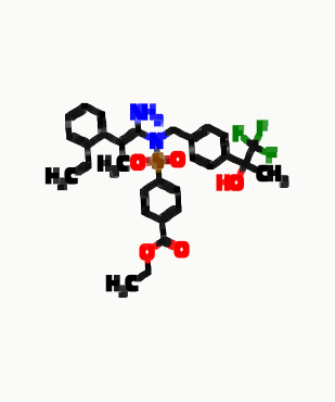 C=Cc1ccccc1/C(C)=C(\N)N(Cc1ccc(C(C)(O)C(F)(F)F)cc1)S(=O)(=O)c1ccc(C(=O)OCC)cc1